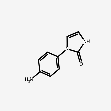 Nc1ccc(-n2cc[nH]c2=O)cc1